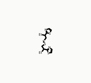 CCC(CSSCC(CC)c1nccs1)c1nccs1